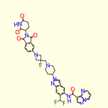 O=C1CCC(N2C(=O)c3ccc(N4CC(F)(CN5CCC(n6cc7cc(NC(=O)c8cnn9cccnc89)c(C(F)F)cc7n6)CC5)C4)cc3C2=O)C(=O)N1